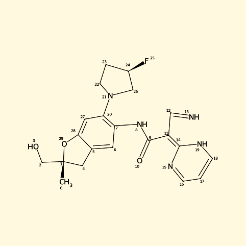 C[C@]1(CO)Cc2cc(NC(=O)/C(C=N)=C3\N=CC=CN3)c(N3CC[C@@H](F)C3)cc2O1